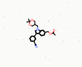 CC(=O)OCc1ccc2c(-c3cccc(C#N)c3)cn(CC3COC(C)(C)OC3)c2c1